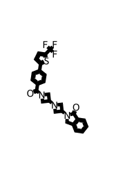 O=C(c1ccc(-c2ccc(C(F)(F)F)s2)cc1)N1CC(N2CC(N3Cc4ccccc4C3=O)C2)C1